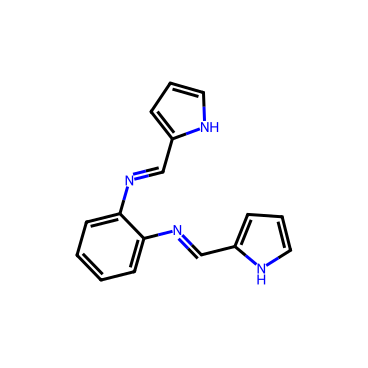 C(=Nc1ccccc1N=Cc1ccc[nH]1)c1ccc[nH]1